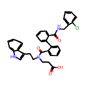 O=C(O)CCN(CCc1c[nH]c2ccccc12)C(=O)c1ccccc1-c1ccccc1C(=O)NCc1ccccc1Cl